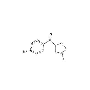 CN1CCC(C(=O)c2ccc(Br)cc2)C1